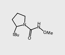 CONC(=O)N1CCCC1C(C)(C)C